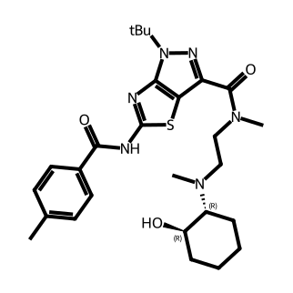 Cc1ccc(C(=O)Nc2nc3c(s2)c(C(=O)N(C)CCN(C)[C@@H]2CCCC[C@H]2O)nn3C(C)(C)C)cc1